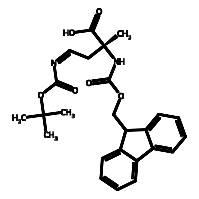 CC(C)(C)OC(=O)/N=C\C[C@@](C)(NC(=O)OCC1c2ccccc2-c2ccccc21)C(=O)O